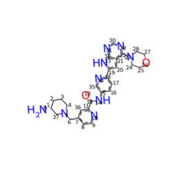 N[C@@H]1CCCN(Cc2ccnc(C(=O)Nc3ccc(-c4cc5c(N6CCOCC6)ncnc5[nH]4)nc3)c2)C1